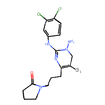 NN1CC(C(F)(F)F)=C(CCCN2CCCC2=O)N=C1Nc1ccc(Cl)c(Cl)c1